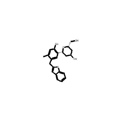 Cc1cc(O)c([C@H]2CC(O)C[C@@H](CO)O2)cc1Cc1cc2ccccc2s1